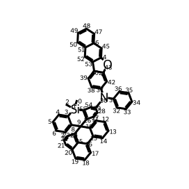 C[Si]1(C)c2ccccc2C2(c3ccccc3-c3cccc4cccc2c34)c2ccc(N(c3ccccc3)c3ccc4c(c3)oc3cc5ccccc5cc34)cc21